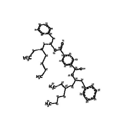 CCCCC(CC)CC(Cc1ccccc1)OC(=O)c1ccc(C(=O)OC(Cc2ccccc2)CC(CC)CCCC)cc1